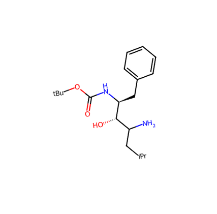 CC(C)CC(N)[C@H](O)[C@H](Cc1ccccc1)NC(=O)OC(C)(C)C